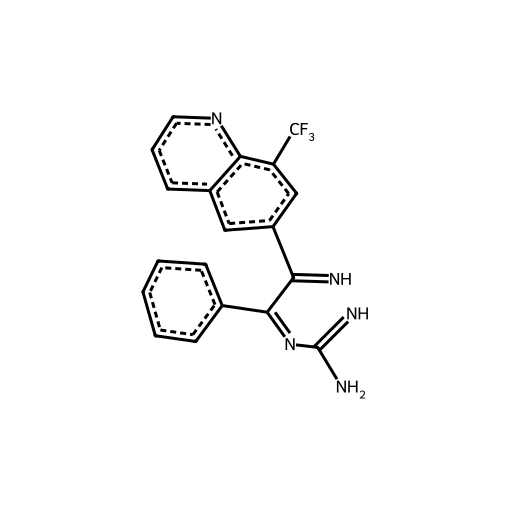 N=C(N)/N=C(\C(=N)c1cc(C(F)(F)F)c2ncccc2c1)c1ccccc1